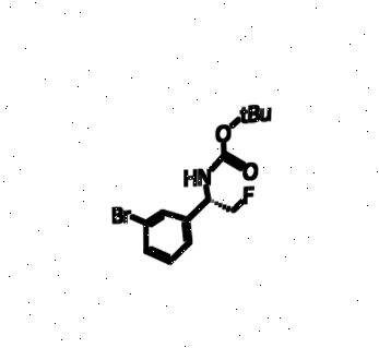 CC(C)(C)OC(=O)N[C@H](CF)c1cccc(Br)c1